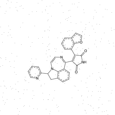 O=C1NC(=O)C(c2cccc3ccoc23)=C1C1=NC=CN2c3c(cccc31)CC2c1ccccn1